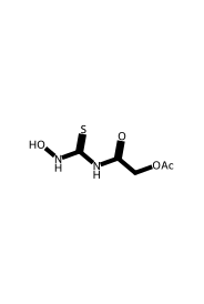 CC(=O)OCC(=O)NC(=S)NO